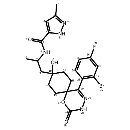 Cc1cc(C(=O)NC(C)CC2(O)CCC3(CC2)OC(=O)NN=C3c2ccc(F)cc2Br)[nH]n1